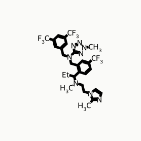 CCC(c1ccc(C(F)(F)F)cc1CN(Cc1cc(C(F)(F)F)cc(C(F)(F)F)c1)c1nnn(C)n1)N(C)CCn1ccnc1C